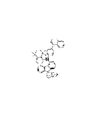 CC1(C)CCC(C)(C)c2c(N(c3ccc(-c4cccc5ccccc45)cc3)c3cccc4c3-c3ccccc3C43C4CC5CC(C4)C3C5)cccc21